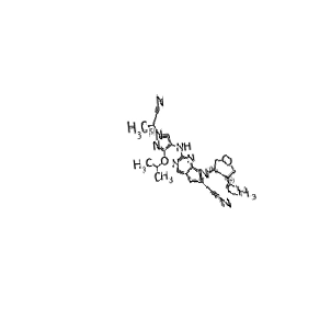 CC(C)Oc1nn([C@@H](C)C#N)cc1Nc1ncc2cc(C#N)n([C@H]3COC[C@H]3C)c2n1